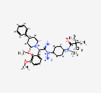 COc1cccc(C(C(=N)N(N)C2CCC(N(C)C(=O)C(C)(C)C)CC2)N2CCC(c3ccccc3)CC2)c1OC